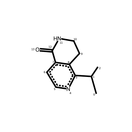 CC(C)c1nccc2c1CCNC2=O